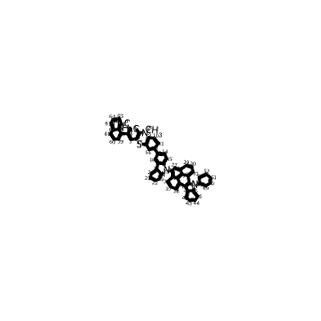 C=C/C(=C\C1=C(C)N(C)c2ccc(-c3ccc4c(c3)c3ccccc3n4-c3cc4cccc5c4c4c3cccc4c3c4ccccc4n(-c4ccccc4)c53)cc2S1)c1cccc2ccccc12